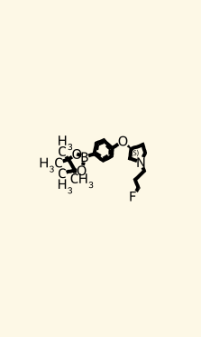 CC1(C)OB(c2ccc(O[C@H]3CCN(CCCF)C3)cc2)OC1(C)C